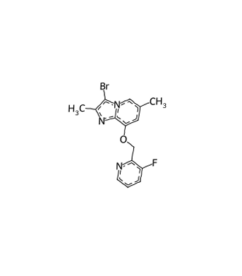 Cc1cc(OCc2ncccc2F)c2nc(C)c(Br)n2c1